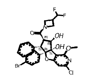 COc1nc(Cl)cc2c1[C@]1(O)[C@H](O)[C@H](C(=O)N3CC(C(F)F)C3)[C@@H](c3ccccc3)[C@]1(c1ccc(Br)cc1)O2